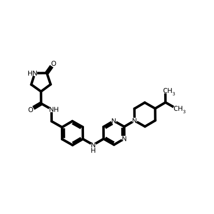 CC(C)C1CCN(c2ncc(Nc3ccc(CNC(=O)C4CNC(=O)C4)cc3)cn2)CC1